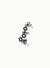 O=S(=O)(Nc1ccccc1-c1ccc2[nH]c(-c3ccc(OC(C(F)(F)F)C(F)(F)F)cc3)nc2c1)C(F)(F)F